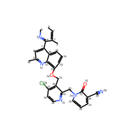 C/C=C(C)\C(=N/C)c1cc(C)nc2c(OCc3c(Cl)ccnc3Cn3cccc(C#N)c3=O)cccc12